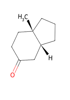 C[C@@]12CCC[C@@H]1CC(=O)CC2